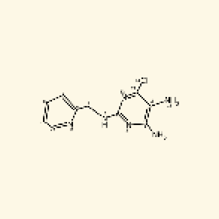 Nc1nc(NCc2ccccn2)nc(Cl)c1N